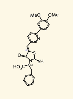 COc1ccc(-c2ccc(/C=C3\SC(S)N([C@@H](Cc4ccccc4)C(=O)O)C3=O)cn2)cc1OC